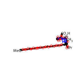 COCCOCCOCCOCCOCCOCCOCOCCOCCOCCOCCOCCOCCOCCOCCOCCOCCCc1cc(NC(=O)[C@H](C)NC(=O)[C@@H](NC(=O)CN2C(=O)[C@@H](N3C(=O)C=CC3=O)C[C@H]2COCCS(=O)(=O)O)C(C)C)ccc1COC(=O)C(C)C